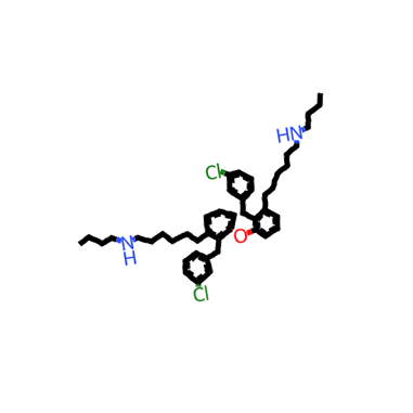 CCCCNCCCCCCc1cccc(Oc2cccc(CCCCCCNCCCC)c2Cc2cccc(Cl)c2)c1Cc1cccc(Cl)c1